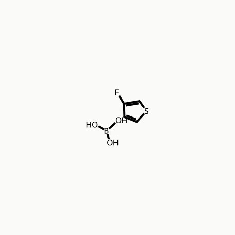 Fc1ccsc1.OB(O)O